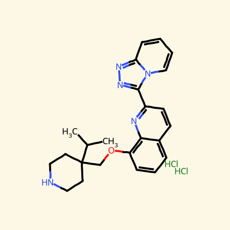 CC(C)C1(COc2cccc3ccc(-c4nnc5ccccn45)nc23)CCNCC1.Cl.Cl